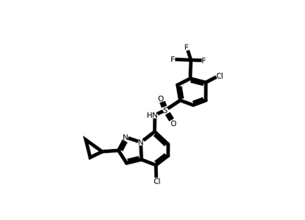 O=S(=O)(Nc1ccc(Cl)c2cc(C3CC3)nn12)c1ccc(Cl)c(C(F)(F)F)c1